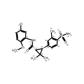 COc1ccc(Cl)cc1NC(=O)[C@@H]1[C@@H](c2ccc(S(N)(=O)=O)c(C)c2)C1(C)C